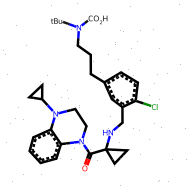 CC(C)(C)N(CCCc1ccc(Cl)c(CNC2(C(=O)N3CCN(C4CC4)c4ccccc43)CC2)c1)C(=O)O